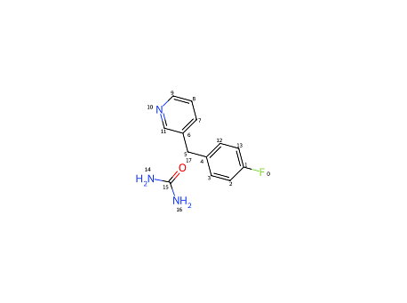 Fc1ccc(Cc2cccnc2)cc1.NC(N)=O